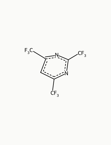 FC(F)(F)c1cc(C(F)(F)F)nc(C(F)(F)F)n1